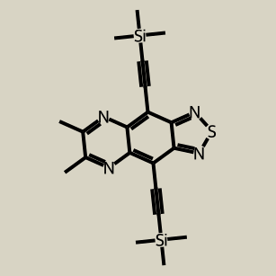 Cc1nc2c(C#C[Si](C)(C)C)c3nsnc3c(C#C[Si](C)(C)C)c2nc1C